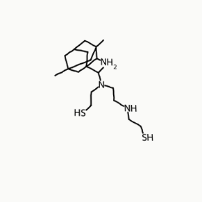 CC(N(CCS)CCNCCS)C12CC3CC(C)(CC(C)(C3)C1N)C2